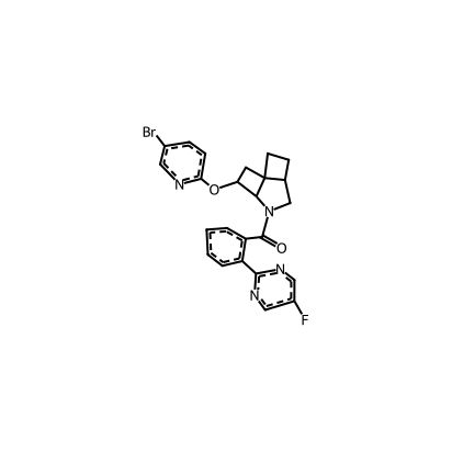 O=C(c1ccccc1-c1ncc(F)cn1)N1CC2CCC23CC(Oc2ccc(Br)cn2)C13